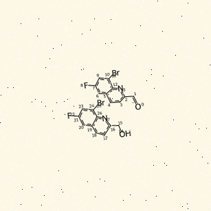 O=Cc1ccc2cc(F)cc(Br)c2n1.OCc1ccc2cc(F)cc(Br)c2n1